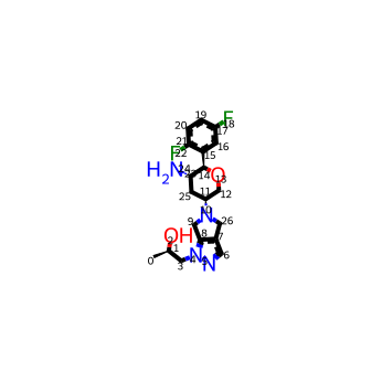 C[C@@H](O)Cn1ncc2c1CN([C@H]1CO[C@H](c3cc(F)ccc3F)[C@@H](N)C1)C2